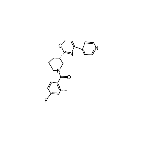 C=C(/N=C(\OC)[C@H]1CCCN(C(=O)c2ccc(F)cc2C)C1)c1ccncc1